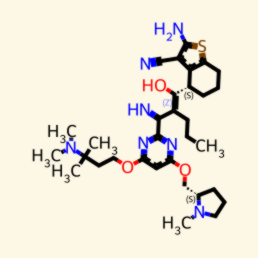 CCC/C(C(=N)c1nc(OCCC(C)(C)N(C)C)cc(OC[C@@H]2CCCN2C)n1)=C(/O)[C@H]1CCCc2sc(N)c(C#N)c21